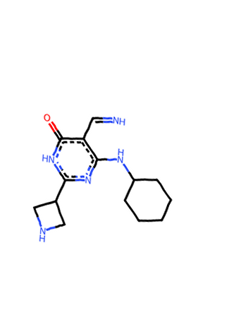 N=Cc1c(NC2CCCCC2)nc(C2CNC2)[nH]c1=O